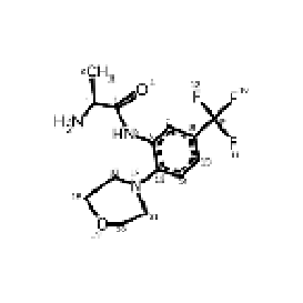 C[C@H](N)C(=O)Nc1cc(C(F)(F)F)ccc1N1CCOCC1